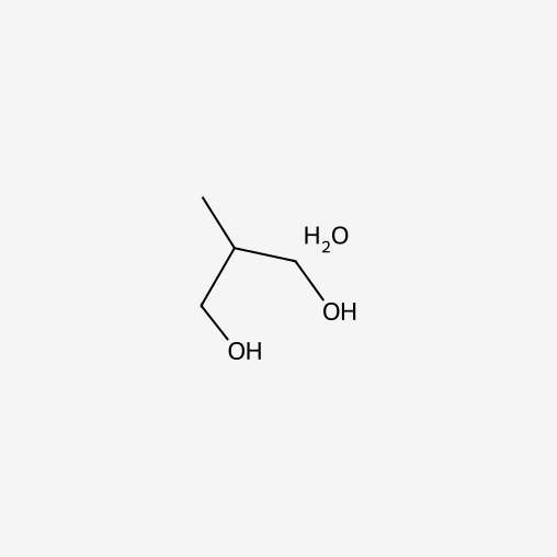 CC(CO)CO.O